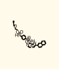 C#CCOCCOC(=O)Nc1ccc(S(=O)(=O)Nc2nccn3cc(-c4ccc5ccccc5c4)nc23)cc1